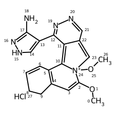 COC1=CC2=C(C=CCC2)C2=c3c(-c4c[nH]nc4N)nncc3=C[N+]12OC.Cl